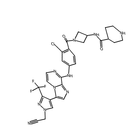 N#CCn1cc(-c2cnc3c(Nc4ccc(C(=O)N5CC(NC(=O)C6CCNCC6)C5)c(Cl)c4)nccn23)c(C(F)(F)F)n1